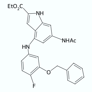 CCOC(=O)c1cc2c(Nc3ccc(F)c(OCc4ccccc4)c3)cc(NC(C)=O)cc2[nH]1